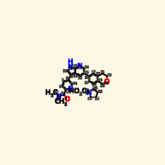 CN(C)C(=O)c1ccc(-c2c[nH]c3ncc(-c4cc5c(c([C@@H]6CCCN6C(=O)O)c4)COCC5)cc23)cn1